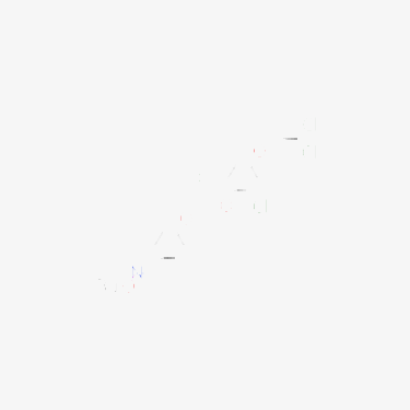 CCC(C)ON=Cc1ccc(OCCOc2c(Cl)cc(OCC=C(Cl)Cl)cc2Cl)cc1